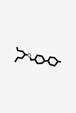 CCCC(CCC)OCC1CCC(C2CCC(C)CC2)CC1